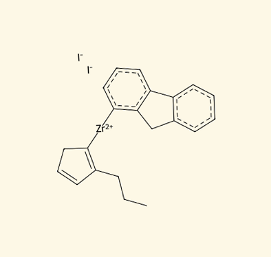 CCCC1=[C]([Zr+2][c]2cccc3c2Cc2ccccc2-3)CC=C1.[I-].[I-]